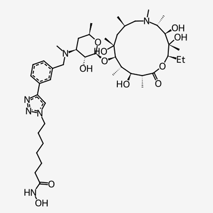 CC[C@H]1OC(=O)[C@H](C)[C@@H](O)[C@H](C)[C@@H](O[C@@H]2O[C@H](C)C[C@H](N(C)Cc3cccc(-c4cn(CCCCCCC(=O)NO)nn4)c3)[C@H]2O)[C@](C)(O)C[C@@H](C)CN(C)[C@H](C)[C@@H](O)[C@]1(C)O